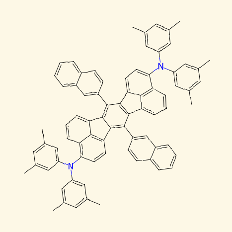 Cc1cc(C)cc(N(c2cc(C)cc(C)c2)c2ccc3c4c(-c5ccc6ccccc6c5)c5c6cccc7c(N(c8cc(C)cc(C)c8)c8cc(C)cc(C)c8)ccc(c5c(-c5ccc8ccccc8c5)c4c4cccc2c43)c76)c1